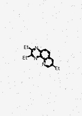 CCc1cnc2c(ccc3nc(CC)c(CC)nc32)c1